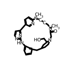 CN1CCCN(C)c2ccc(cn2)-c2ccnc(n2)Nc2cccc(c2)CC2CCN(CC1=O)C(CO)C2